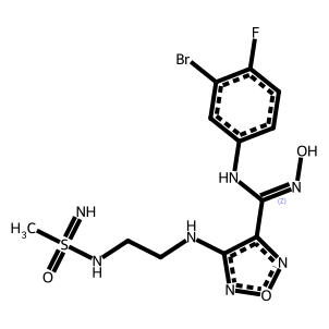 CS(=N)(=O)NCCNc1nonc1/C(=N/O)Nc1ccc(F)c(Br)c1